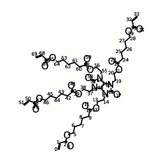 C=CC(=O)OCCCCCC(=O)OCCN1C(=O)N(CCOC(=O)CCCCCOC(=O)C=C)C2C1N(CCOC(=O)CCCCCOC(=O)C=C)C(=O)N2CCOC(=O)CCCCCOC(=O)C=C